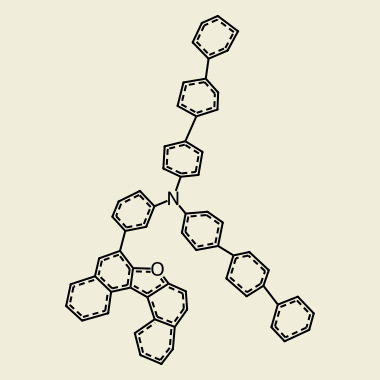 c1ccc(-c2ccc(-c3ccc(N(c4ccc(-c5ccc(-c6ccccc6)cc5)cc4)c4cccc(-c5cc6ccccc6c6c5oc5ccc7ccccc7c56)c4)cc3)cc2)cc1